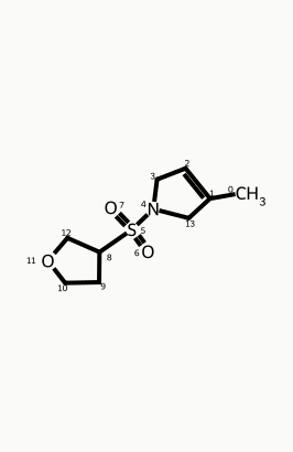 CC1=CCN(S(=O)(=O)C2CCOC2)C1